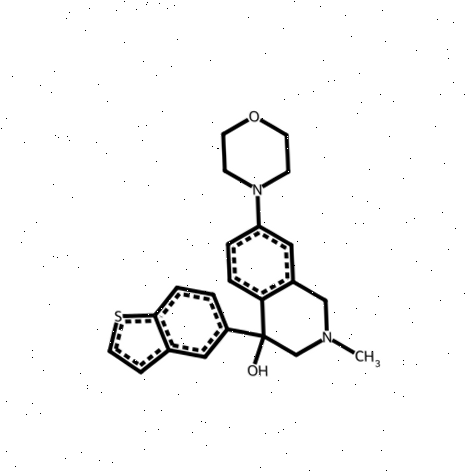 CN1Cc2cc(N3CCOCC3)ccc2C(O)(c2ccc3sccc3c2)C1